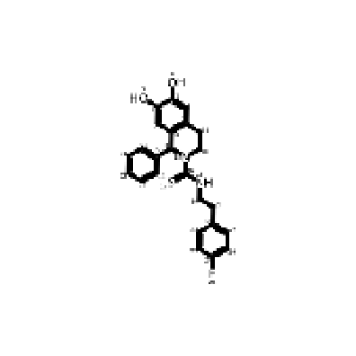 Oc1cc2c(cc1O)C(c1ccccc1)N(C(=S)NCCc1ccc(F)cc1)CC2